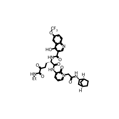 CCNC(=O)C(=O)CC[C@H](NC(=O)c1cnc2ccc(OC(F)(F)F)cc2c1O)C(=O)Nc1cccn(CC(=O)N[C@@H]2C[C@@H]3CC[C@H]2C3)c1=O